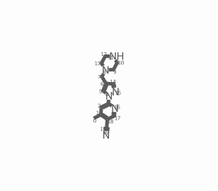 Cc1cc(-n2cc(CN3CCNCC3)cn2)ncc1C#N